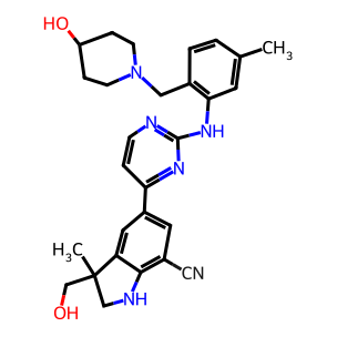 Cc1ccc(CN2CCC(O)CC2)c(Nc2nccc(-c3cc(C#N)c4c(c3)C(C)(CO)CN4)n2)c1